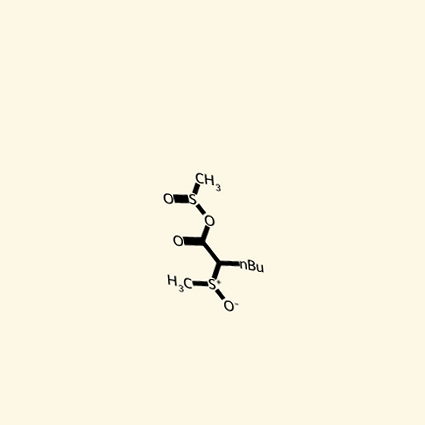 CCCCC(C(=O)OS(C)=O)[S+](C)[O-]